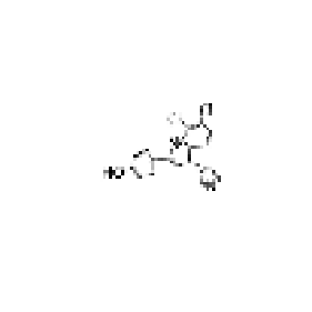 Oc1ccc(-c2cc(-n3ccnc3)c3ccc(Cl)c(Cl)c3n2)cc1